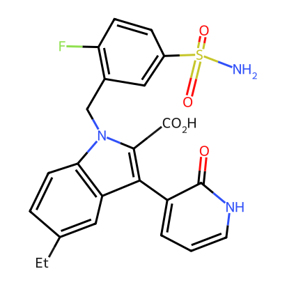 CCc1ccc2c(c1)c(-c1ccc[nH]c1=O)c(C(=O)O)n2Cc1cc(S(N)(=O)=O)ccc1F